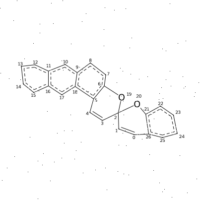 C1=CC2(C=Cc3c(ccc4cc5ccccc5cc34)O2)Oc2ccccc21